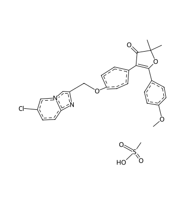 COc1ccc(C2=C(c3ccc(OCc4cn5cc(Cl)ccc5n4)cc3)C(=O)C(C)(C)O2)cc1.CS(=O)(=O)O